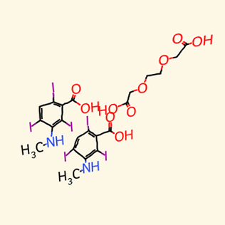 CNc1c(I)cc(I)c(C(=O)O)c1I.CNc1c(I)cc(I)c(C(=O)O)c1I.O=C(O)COCCOCC(=O)O